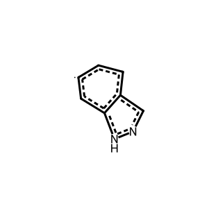 [c]1ccc2cn[nH]c2c1